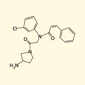 NC1CCN(C(=O)CN(C(=O)/C=C\c2ccccc2)c2cccc(Cl)c2)C1